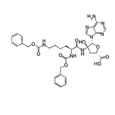 Nc1ncnc2c1ncn2[C@@H]1O[C@H](C(=O)O)C[C@]1(O)NC(=O)[C@H](CCCCNC(=O)OCc1ccccc1)NC(=O)OCc1ccccc1